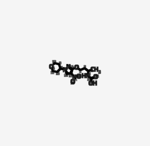 CC(CCOc1nn(C2CCOCC2)cc1[N+](=O)[O-])NC(=O)O